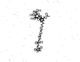 CC(=O)OCc1cc(CCCOCCOCCOCCNC(=O)CCN2C(=O)C=CC2=O)ccc1O[C@@H]1O[C@H](C(=O)O)[C@@H](O)[C@H](O)[C@H]1O